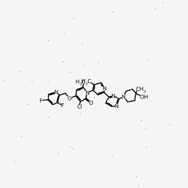 Cc1cnc(-c2ccnc(N3CCC(C)(O)CC3)n2)cc1-n1c(C)cc(OCc2ncc(F)cc2F)c(Cl)c1=O